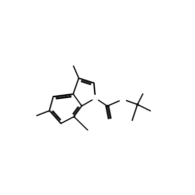 CC(C)(C)OC(=O)n1cc(Br)c2cc(F)cc(F)c21